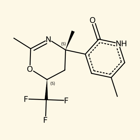 CC1=N[C@](C)(c2cc(C)c[nH]c2=O)C[C@@H](C(F)(F)F)O1